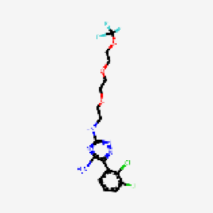 Nc1nc(NCCOCCOCCOC(F)(F)F)nnc1-c1cccc(Cl)c1Cl